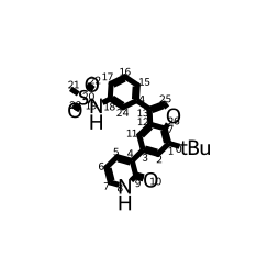 CC(C)(C)c1cc(-c2ccc[nH]c2=O)cc2c(-c3cccc(NS(C)(=O)=O)c3)coc12